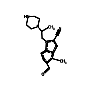 Cc1c(C=O)ccc2c1cc(C#N)n2CC(C)N1CCNCC1